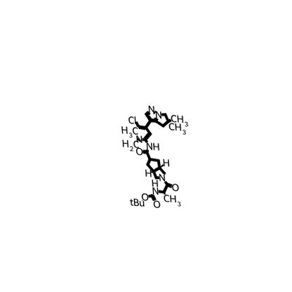 C=N/C(=C\C(=C(/C)Cl)c1cnn2c1CC(C)(C)C2)NC(=O)C1C[C@@H]2CN(C(=O)[C@@H](C)NC(=O)OC(C)(C)C)C[C@@H]2C1